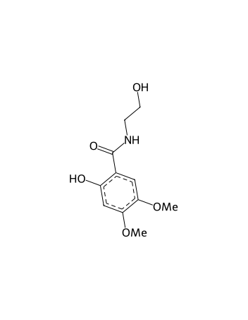 COc1cc(O)c(C(=O)NCCO)cc1OC